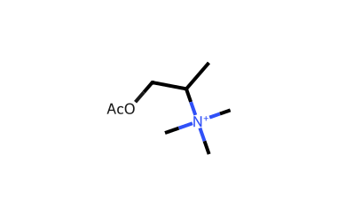 CC(=O)OCC(C)[N+](C)(C)C